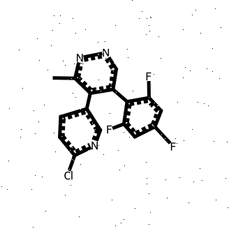 Cc1nncc(-c2c(F)cc(F)cc2F)c1-c1ccc(Cl)nc1